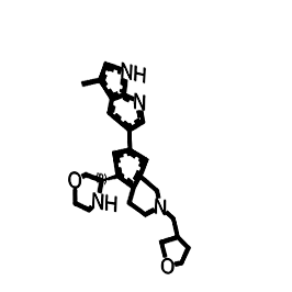 Cc1c[nH]c2ncc(-c3cc4c(c([C@@H]5COCCN5)c3)CCN(CC3CCOC3)C4)cc12